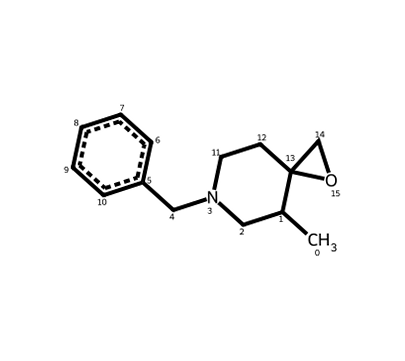 CC1CN(Cc2ccccc2)CCC12CO2